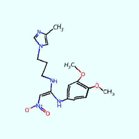 COc1ccc(N/C(=C\[N+](=O)[O-])NCCCn2cnc(C)c2)cc1OC